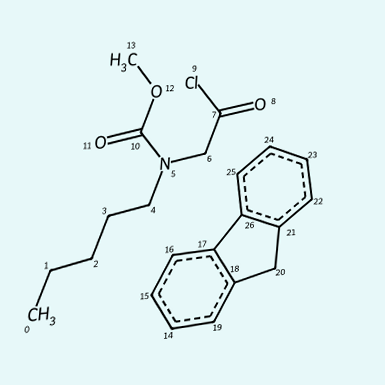 CCCCCN(CC(=O)Cl)C(=O)OC.c1ccc2c(c1)Cc1ccccc1-2